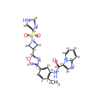 Cc1ccc(-c2noc(C3CN(S(=O)(=O)c4c[nH]cn4)C3)n2)cc1NC(=O)c1cnc2ccccn12